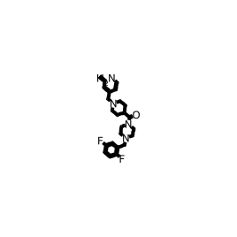 C=C/C=C(\C=C/N)CN1CCC(C(=O)N2CCN(Cc3cc(F)ccc3F)CC2)CC1